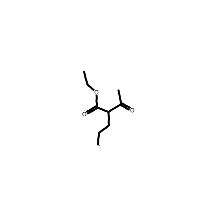 [CH2]CCC(C(C)=O)C(=O)OCC